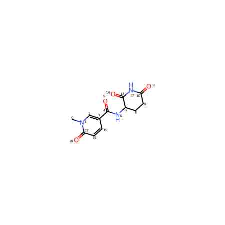 Cn1cc(C(=O)NC2CCC(=O)NC2=O)ccc1=O